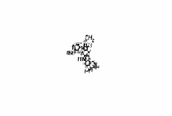 C=CCn1c(=O)c2cnc(Nc3ccc4c(c3)CCNC4C(C)C)nc2n1-c1ccnc(C(C)(C)C)c1